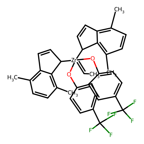 C[CH]=[Zr]([O]c1ccc(C(F)(F)F)cc1)([O]c1ccc(C(F)(F)F)cc1)([CH]1C=Cc2c(C)ccc(C)c21)[CH]1C=Cc2c(C)ccc(C)c21